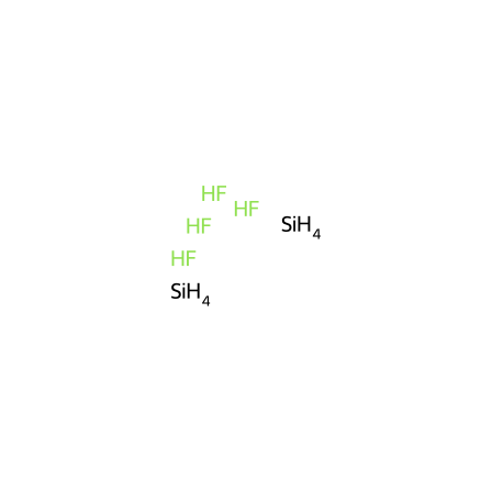 F.F.F.F.[SiH4].[SiH4]